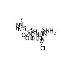 C=CCn1nnnc1SCC1=C(C(=O)O)N2C(=O)C(NC(=O)/C(=N\OCCCl)c3csc(N)n3)[C@H]2SC1